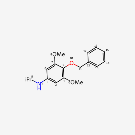 COc1cc(NC(C)C)cc(OC)c1OCc1ccccc1